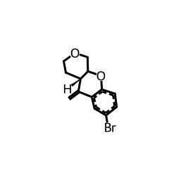 C=C1c2cc(Br)ccc2OC2COCC[C@@H]12